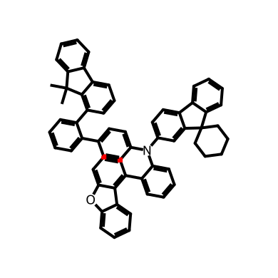 CC1(C)c2ccccc2-c2cccc(-c3ccccc3-c3ccc(N(c4ccc5c(c4)C4(CCCCC4)c4ccccc4-5)c4ccccc4-c4cccc5oc6ccccc6c45)cc3)c21